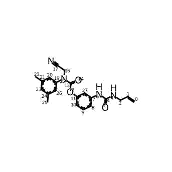 C=CCNC(=O)Nc1cccc(OC(=O)N(CC#N)c2cc(C)cc(C)c2)c1